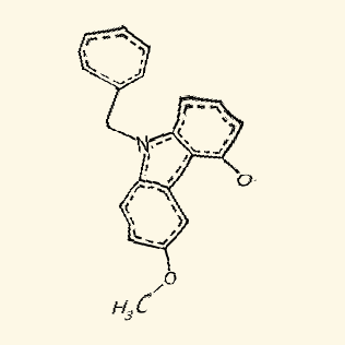 COc1ccc2c(c1)c1c([O])cccc1n2Cc1ccccc1